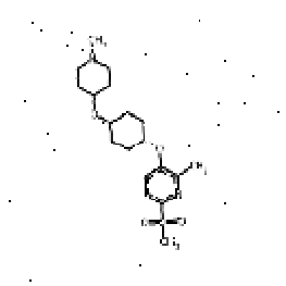 Cc1nc(S(C)(=O)=O)ccc1O[C@H]1CC[C@H](OC2CCN(C)CC2)CC1